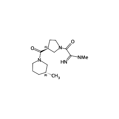 CNC(=N)C(=O)N1CC[C@H](C(=O)N2CCC[C@@H](C)C2)C1